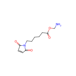 NCOC(=O)CCCCCN1C(=O)C=CC1=O